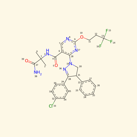 CC(C)(NC(=O)c1cnc(OCCC(F)(F)F)nc1N1CC(c2ccccc2)C(c2ccc(Cl)cc2)=N1)C(N)=O